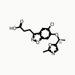 Cc1ncc([C@H](C)Oc2cc3onc(CCC(=O)O)c3cc2Cl)o1